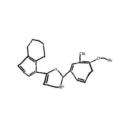 CC(C)OC1=C(C#N)C=C(C2NC=C(c3cccc4c3CCCC4)S2)C=CC1